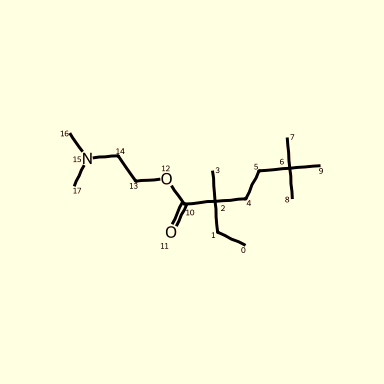 CCC(C)(CCC(C)(C)C)C(=O)OCCN(C)C